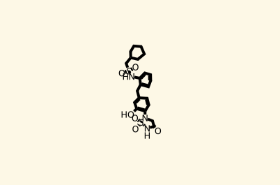 O=C1CN(c2ccc(Cc3ccccc3NS(=O)(=O)CC3CCCCC3)cc2O)S(=O)(=O)N1